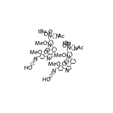 COc1cc(-c2nccc(-c3cccc(-c4ccc(CN(C(=O)OC(C)(C)C)C5CCN(C(C)=O)CC5)c(OC)n4)c3Cl)c2Cl)ccc1CN1CC2(CC(O)C2)C1.COc1cc(-c2nccc(-c3cccc(-c4ccc(CN(C(=O)OC(C)(C)C)C5CCN(C(C)=O)CC5)c(OC)n4)c3Cl)c2Cl)ccc1CN1CC2(CC(O)C2)C1